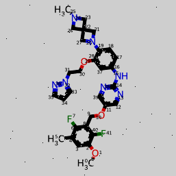 COc1cc(C)c(F)c(COc2cnc(Nc3ccc(N4CC5(CN(C)C5)C4)c(OCCn4cccn4)c3)nc2)c1F